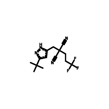 CC(C)(C)c1cc(CC(C#N)(C#N)CCC(F)(F)F)[nH]n1